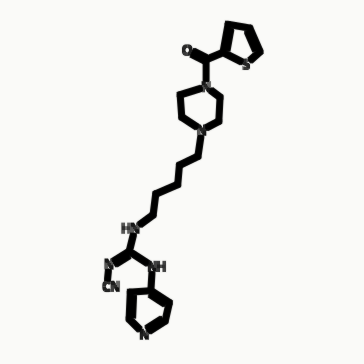 N#CN=C(NCCCCCN1CCN(C(=O)c2cccs2)CC1)Nc1ccncc1